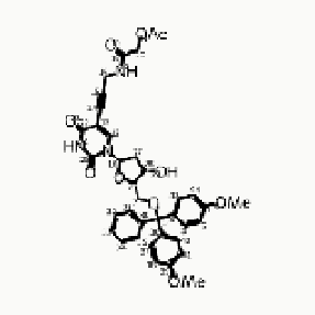 COc1ccc(C(OC[C@H]2O[C@@H](n3cc(C#CCNC(=O)COC(C)=O)c(=O)[nH]c3=O)C[C@H]2O)(c2ccccc2)c2ccc(OC)cc2)cc1